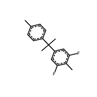 Cc1ccc(C(C)(C)c2cc(F)c(C)c(F)c2)cc1